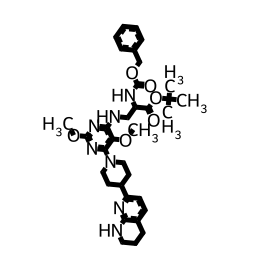 COc1nc(NCC(NC(=O)OCc2ccccc2)C(=O)OC(C)(C)C)c(OC)c(N2CCC(c3ccc4c(n3)NCCC4)CC2)n1